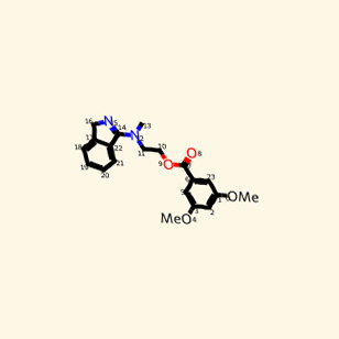 COc1cc(OC)cc(C(=O)OCCN(C)C2=NCc3ccccc32)c1